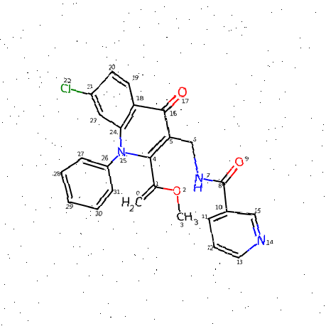 C=C(OC)c1c(CNC(=O)c2cccnc2)c(=O)c2ccc(Cl)cc2n1-c1ccccc1